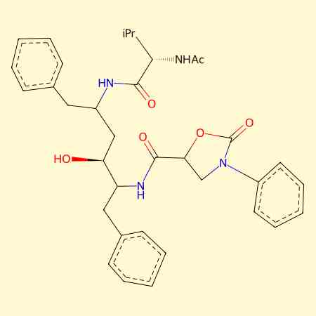 CC(=O)N[C@H](C(=O)NC(Cc1ccccc1)C[C@H](O)C(Cc1ccccc1)NC(=O)C1CN(c2ccccc2)C(=O)O1)C(C)C